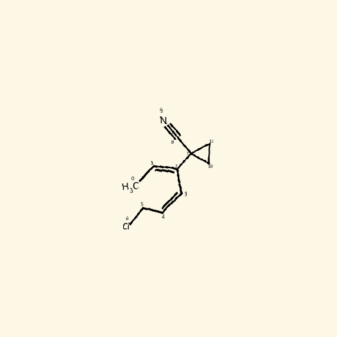 C/C=C(\C=C/CCl)C1(C#N)CC1